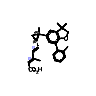 CC(/C=C/[C@@H]1C[C@]1(C)c1cc(-c2ccccc2C)c2c(c1)C(C)(C)CO2)=C\C(=O)O